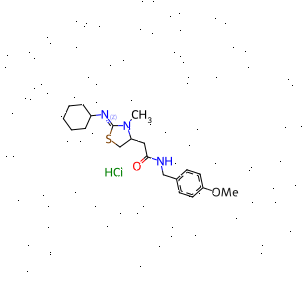 COc1ccc(CNC(=O)CC2CS/C(=N\C3CCCCC3)N2C)cc1.Cl